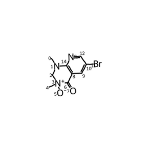 CN1C[N+](C)([O-])C(=O)c2cc(Br)cnc21